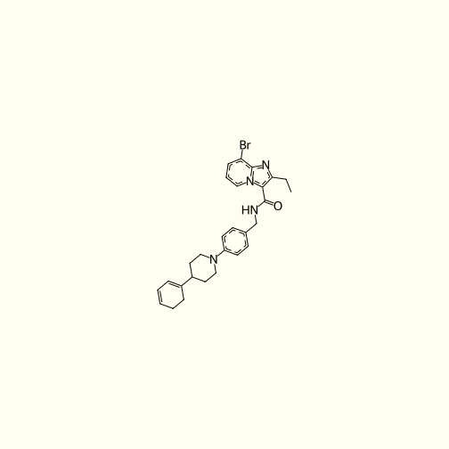 CCc1nc2c(Br)cccn2c1C(=O)NCc1ccc(N2CCC(C3=CC=CCC3)CC2)cc1